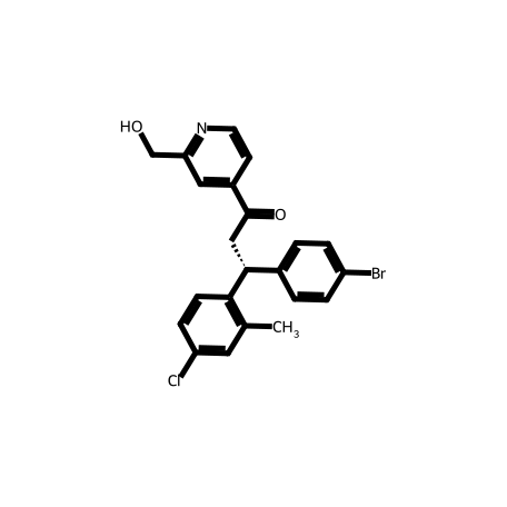 Cc1cc(Cl)ccc1[C@H](CC(=O)c1ccnc(CO)c1)c1ccc(Br)cc1